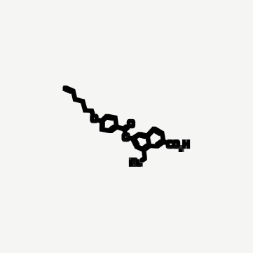 C=CCCCCOc1ccc(C(=O)Oc2cc(CC(C)CC)c3cc(C(=O)O)ccc3c2)cc1